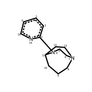 c1ccc(N2CCN3CCCC2CC3)nc1